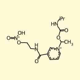 CC(C)NC(=O)OC(C)[n+]1cccc(C(=O)NCCO[N+](=O)O)c1